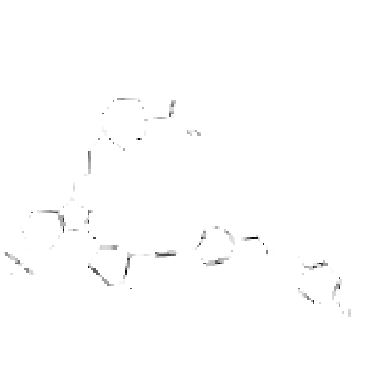 CC(C)COC(=O)N1CCCN(CCCn2nc(-c3ccc(Cl)c(C#Cc4ccc(CNCc5ccc(Cl)cc5)cc4)c3)c3c2CCN(S(C)(=O)=O)C3)CC1